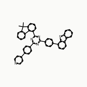 CC1(C)c2ccccc2-c2c(-c3nc(-c4ccc(-c5ccncc5)cc4)nc(-c4ccc(-c5cccc6c5sc5ccccc56)cc4)n3)cccc21